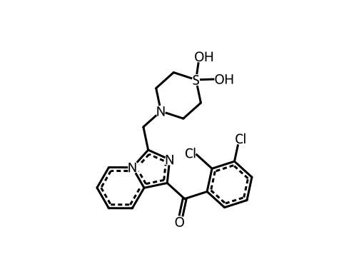 O=C(c1cccc(Cl)c1Cl)c1nc(CN2CCS(O)(O)CC2)n2ccccc12